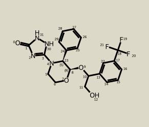 O=c1nc(N2CCO[C@H](OC(CO)c3cccc(C(F)(F)F)c3)[C@@H]2c2ccccc2)[nH][nH]1